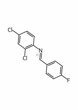 Fc1ccc(/C=N/c2ccc(Cl)cc2Cl)cc1